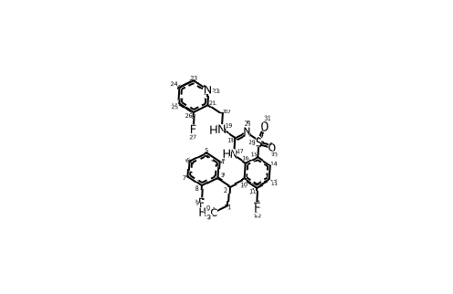 CCC(c1ccccc1F)c1c(F)ccc2c1NC(NCc1ncccc1F)=NS2(=O)=O